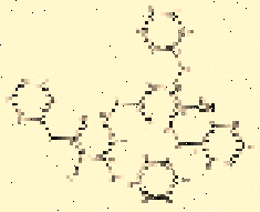 Oc1c(Cc2ccccc2)cc(Cc2cc(Cc3ccccc3)c(O)c(Cc3ccccc3)c2)cc1Cc1ccccc1